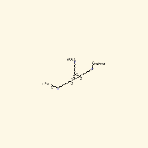 CCCCCCCC/C=C/CCCCCCC(=O)OC(COC(=O)CCCCCCC/C=C\CC1OC1CCCCC)COC(=O)CCCCCCC/C=C\CC1OC1CCCCC